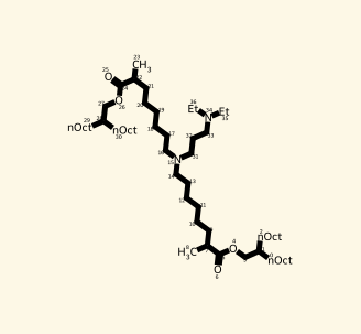 CCCCCCCCC(CCCCCCCC)COC(=O)C(C)CCCCCCN(CCCCCCC(C)C(=O)OCC(CCCCCCCC)CCCCCCCC)CCCN(CC)CC